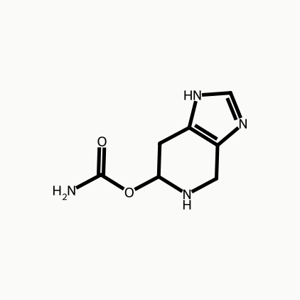 NC(=O)OC1Cc2[nH]cnc2CN1